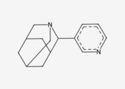 c1cncc(C2C3CC4CC(C3)CN2C4)c1